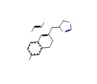 Cc1ccc2c(c1)CCC(CC1CNC=N1)=C2.O=C(O)C=CC(=O)O